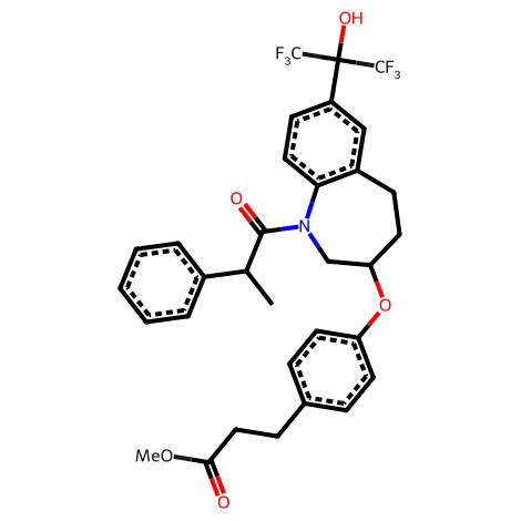 COC(=O)CCc1ccc(OC2CCc3cc(C(O)(C(F)(F)F)C(F)(F)F)ccc3N(C(=O)C(C)c3ccccc3)C2)cc1